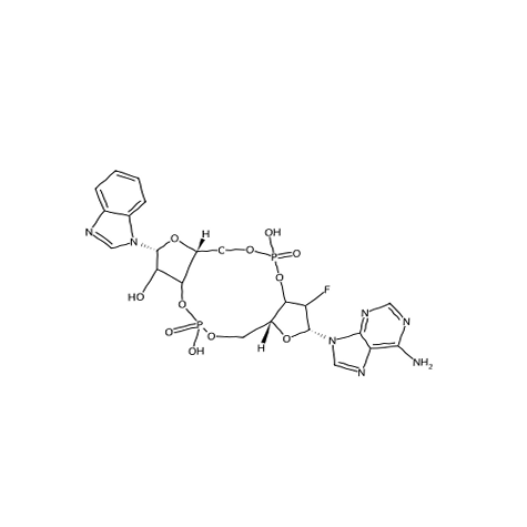 Nc1ncnc2c1ncn2[C@@H]1O[C@@H]2COP(=O)(O)OC3C(O)[C@H](n4cnc5ccccc54)O[C@@H]3COP(=O)(O)OC2C1F